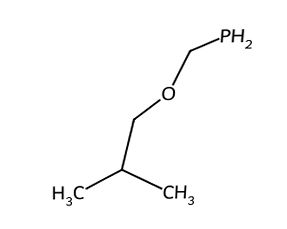 CC(C)COCP